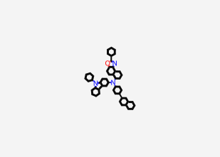 c1ccc(-c2nc3c(ccc4c(N(c5ccc(-c6ccc7ccccc7c6)cc5)c5ccc6c(c5)c5ccccc5n6-c5ccccc5)cccc43)o2)cc1